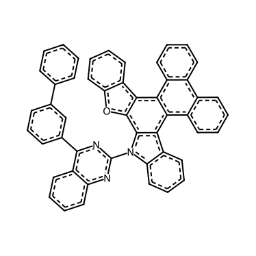 c1ccc(-c2cccc(-c3nc(-n4c5ccccc5c5c6c7ccccc7c7ccccc7c6c6c7ccccc7oc6c54)nc4ccccc34)c2)cc1